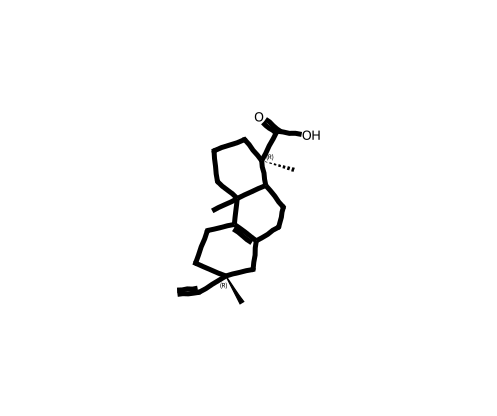 C=C[C@]1(C)CCC2=C(CCC3C2(C)CCC[C@@]3(C)C(=O)O)C1